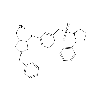 COC1CN(Cc2ccccc2)CC1Oc1cccc(CS(=O)(=O)N2CCCC2c2ccccn2)c1